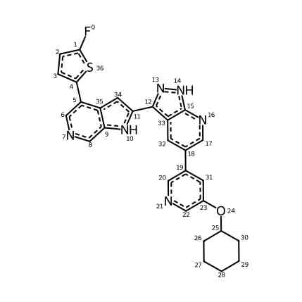 Fc1ccc(-c2cncc3[nH]c(-c4n[nH]c5ncc(-c6cncc(OC7CCCCC7)c6)cc45)cc23)s1